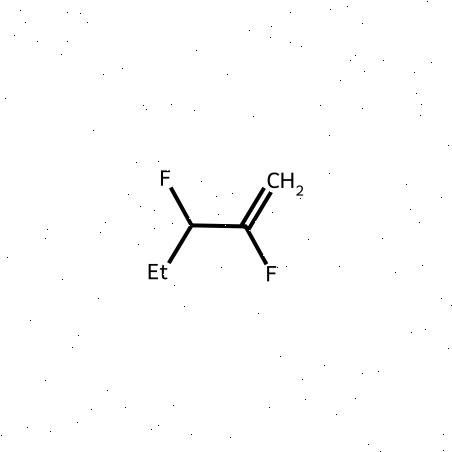 C=C(F)C(F)CC